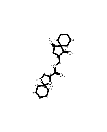 O=C(OCC1CC(=O)C2(CCCCC2)C1=O)C1COC2(CCCCC2)O1